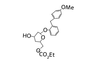 CCOC(=O)OCC1CC(O)CC(Oc2ccccc2Cc2ccc(OC)cc2)O1